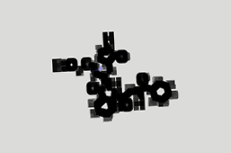 CCOC(=O)/C=C/[C@H](CC1CCNC1=O)NC(=O)c1ccccc1NC(=O)CNC(=O)C1CCCCC1